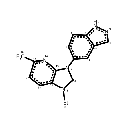 CCN1CN(c2ccc3[nH]ncc3c2)c2nc(C(F)(F)F)ccc21